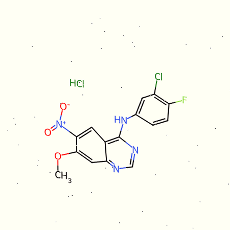 COc1cc2ncnc(Nc3ccc(F)c(Cl)c3)c2cc1[N+](=O)[O-].Cl